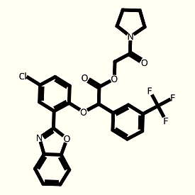 O=C(OCC(=O)N1CCCC1)C(Oc1ccc(Cl)cc1-c1nc2ccccc2o1)c1cccc(C(F)(F)F)c1